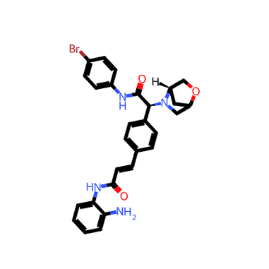 Nc1ccccc1NC(=O)/C=C/c1ccc([C@@H](C(=O)Nc2ccc(Br)cc2)N2CC3C[C@H]2CO3)cc1